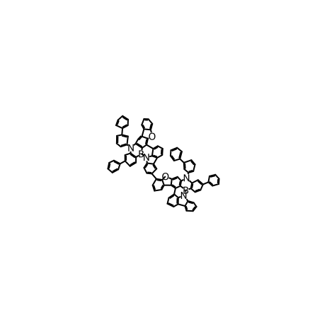 c1ccc(-c2cccc(N3c4cc(-c5ccccc5)ccc4B4c5c3cc3c(oc6ccccc63)c5-c3cccc5c6cc(-c7cccc8c7oc7cc9c%10c(c78)-c7cccc8c%11ccccc%11n(c78)B%10c7ccc(-c8ccccc8)cc7N9c7cccc(-c8ccccc8)c7)ccc6n4c35)c2)cc1